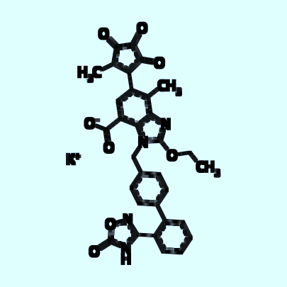 CCOc1nc2c(C)c(-c3c(C)c(=O)c(=O)c3=O)cc(C(=O)[O-])c2n1Cc1ccc(-c2ccccc2-c2noc(=O)[nH]2)cc1.[K+]